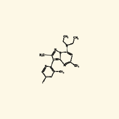 CCN(CC)c1cc(C)nc2c(-c3ncc(I)cc3C)c(C)nn12